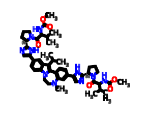 COC(=O)NC(C(=O)N1CCC[C@H]1c1ncc(-c2ccc3c(c2)N(C)CCn2c-3c(C(C)C)c3cc(-c4cnc([C@@H]5CCCN5C(=O)C(NC(=O)OC)C(C)C)[nH]4)ccc32)[nH]1)C(C)C